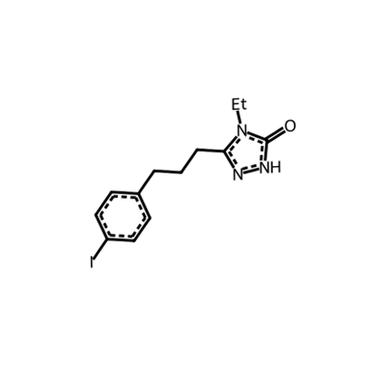 CCn1c(CCCc2ccc(I)cc2)n[nH]c1=O